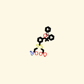 COC(=O)CCSC(SCCC(=O)N(C)C)c1cccc(C(O[SiH](c2ccccc2)c2ccccc2)C(C)(C)C)c1